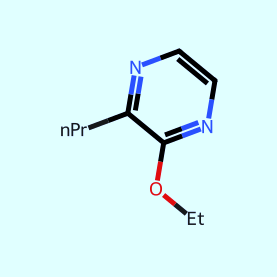 CCCc1nccnc1OCC